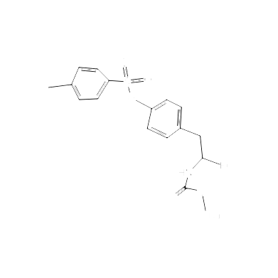 CCC(Cc1ccc(OS(=O)(=O)c2ccc(C)cc2)cc1)NC(=O)OC(C)(C)C